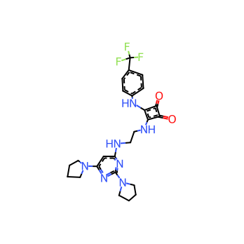 O=c1c(NCCNc2cc(N3CCCC3)nc(N3CCCC3)n2)c(Nc2ccc(C(F)(F)F)cc2)c1=O